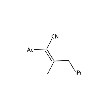 CC(=O)/C(C#N)=C(\C)CC(C)C